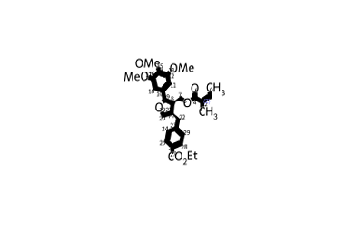 C/C=C(/C)C(=O)OC[C@@H]1C(c2cc(OC)c(OC)c(OC)c2)OC[C@@H]1Cc1ccc(C(=O)OCC)cc1